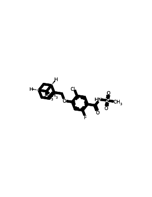 CC1(C)[C@H]2CC=C(COc3cc(F)c(C(=O)NS(C)(=O)=O)cc3Cl)[C@@H]1C2